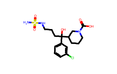 NS(=O)(=O)NCCCC(O)(c1cccc(Cl)c1)C1CCCN(C(=O)O)C1